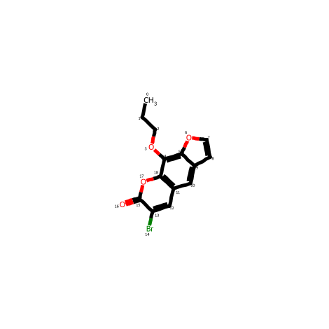 CCCOc1c2occc2cc2cc(Br)c(=O)oc12